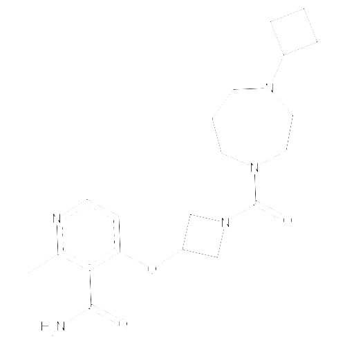 Cc1nccc(OC2CN(C(=O)N3CCCN(C4CCC4)CC3)C2)c1C(N)=O